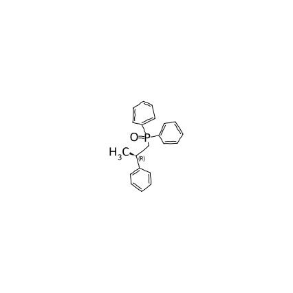 C[C@@H](CP(=O)(c1ccccc1)c1ccccc1)c1ccccc1